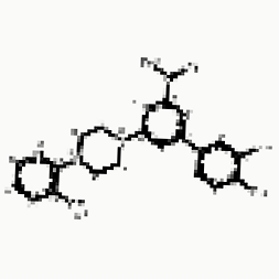 CCN(CC)c1nc(-c2ccc(F)c(F)c2)cc(N2CCN(c3ncccc3C(F)(F)F)CC2)n1